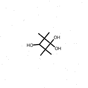 CC1(C)C(O)C(C)(C)C1(O)O